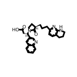 O=C(O)C[C@@H](c1cnc2ccccc2c1)N1CC[C@@H](CCCc2ccc3c(n2)NCCC3)C1=O